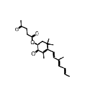 C/C=C/C=C(C)/C=C/C1=C(C)C(=O)C(OC(=O)CCC(C)=O)CC1(C)C